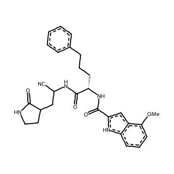 COc1cccc2[nH]c(C(=O)N[C@@H](CCCc3ccccc3)C(=O)NC(C#N)CC3CCNC3=O)cc12